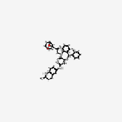 O=C1CCc2cc(NC(=O)NC3N=C(c4ccccc4F)c4ccccc4N(CC(=O)N4CC5CCC(CC5)C4)C3=O)ccc2N1